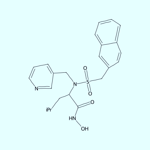 CC(C)CC(C(=O)NO)N(Cc1cccnc1)S(=O)(=O)Cc1ccc2ccccc2c1